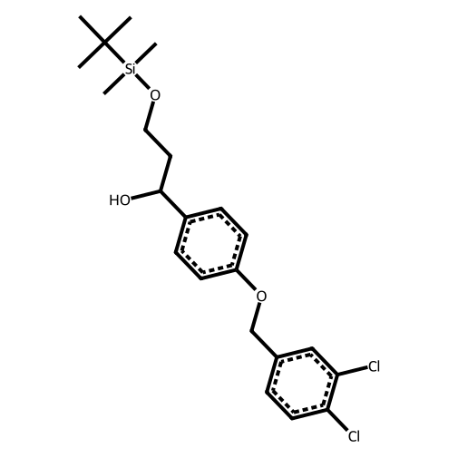 CC(C)(C)[Si](C)(C)OCCC(O)c1ccc(OCc2ccc(Cl)c(Cl)c2)cc1